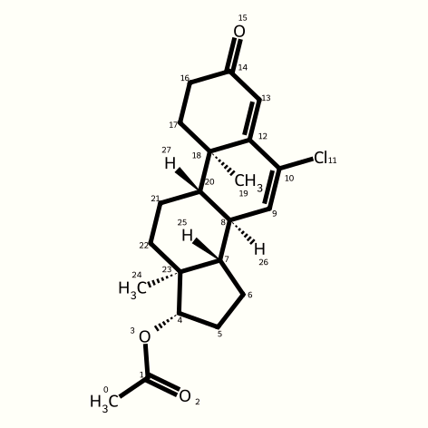 CC(=O)O[C@H]1CC[C@H]2[C@@H]3C=C(Cl)C4=CC(=O)CC[C@]4(C)[C@H]3CC[C@]12C